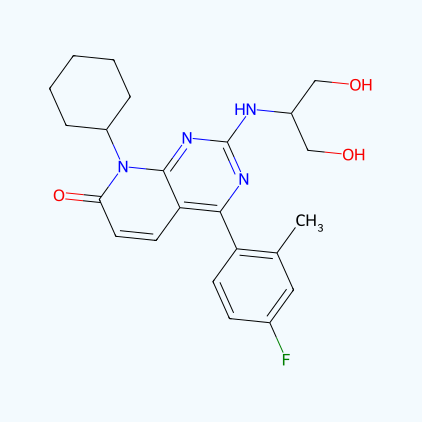 Cc1cc(F)ccc1-c1nc(NC(CO)CO)nc2c1ccc(=O)n2C1CCCCC1